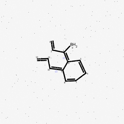 B/C(C=C)=c1\cccc\c1=C\C=C